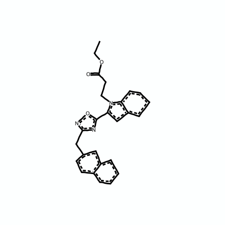 CCOC(=O)CCn1c(-c2nc(Cc3ccc4ccccc4c3)no2)cc2ccccc21